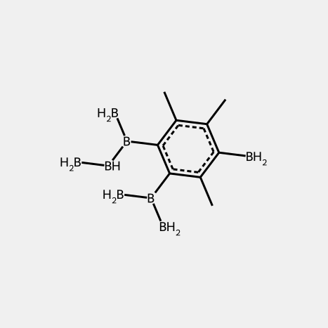 BBB(B)c1c(C)c(C)c(B)c(C)c1B(B)B